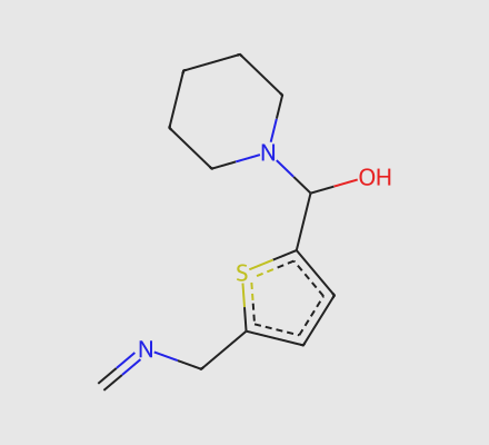 C=NCc1ccc(C(O)N2CCCCC2)s1